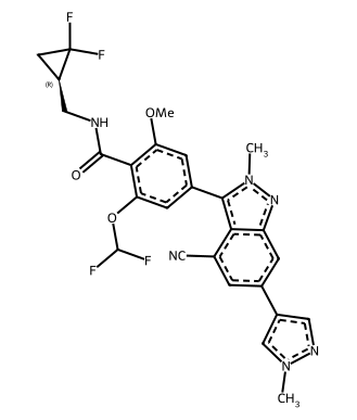 COc1cc(-c2c3c(C#N)cc(-c4cnn(C)c4)cc3nn2C)cc(OC(F)F)c1C(=O)NC[C@H]1CC1(F)F